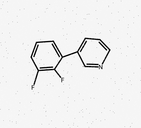 Fc1cccc(-c2[c]nccc2)c1F